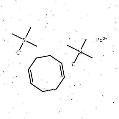 C1=C\CC/C=C\CC/1.[CH2-][Si](C)(C)C.[CH2-][Si](C)(C)C.[Pd+2]